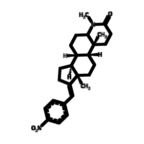 CN1C(=O)CC[C@@]2(C)C1CC[C@@H]1[C@H]2CC[C@]2(C)C(=Cc3ccc([N+](=O)[O-])cc3)CC[C@@H]12